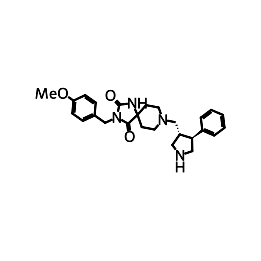 COc1ccc(CN2C(=O)NC3(CCN(C[C@H]4CNC[C@@H]4c4ccccc4)CC3)C2=O)cc1